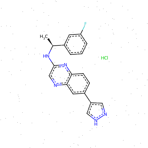 C[C@H](Nc1cnc2cc(-c3cn[nH]c3)ccc2n1)c1cccc(F)c1.Cl